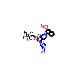 CC(C)COc1nc2c(c(N3CCNCC3)n1)CCN(c1cc(O)cc3ccccc13)C2